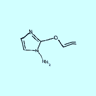 C=COc1nccn1N